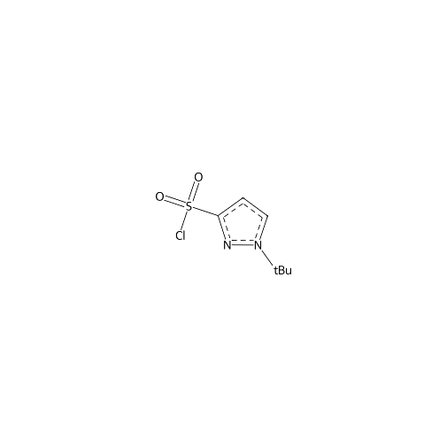 CC(C)(C)n1ccc(S(=O)(=O)Cl)n1